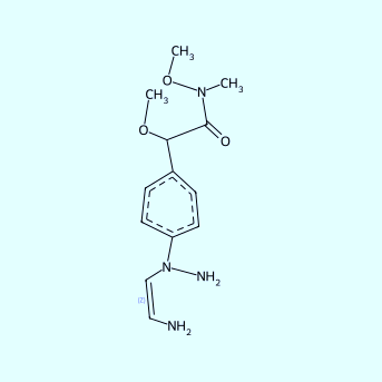 COC(C(=O)N(C)OC)c1ccc(N(N)/C=C\N)cc1